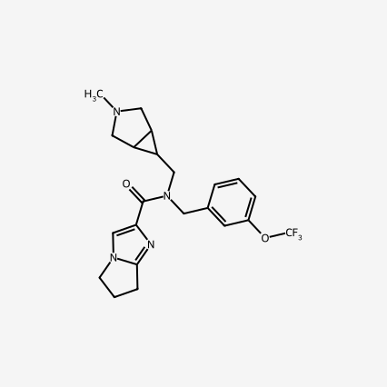 CN1CC2C(C1)C2CN(Cc1cccc(OC(F)(F)F)c1)C(=O)c1cn2c(n1)CCC2